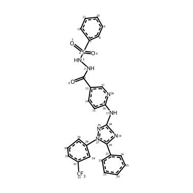 O=C(NNS(=O)(=O)c1ccccc1)c1ccc(Nc2nc(-c3ccccc3)n(-c3cccc(C(F)(F)F)c3)n2)nc1